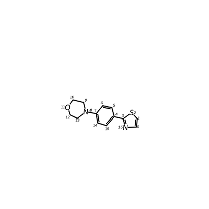 c1csc(-c2ccc(N3CCOCC3)cc2)n1